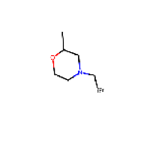 CC(C)CN1CCOC(C)C1